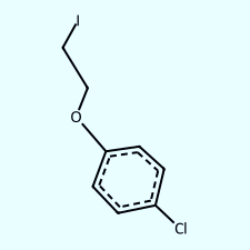 Clc1ccc(OCCI)cc1